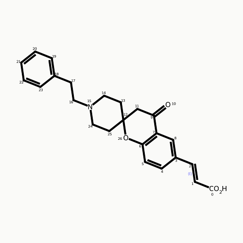 O=C(O)/C=C/c1ccc2c(c1)C(=O)CC1(CCN(CCc3ccccc3)CC1)O2